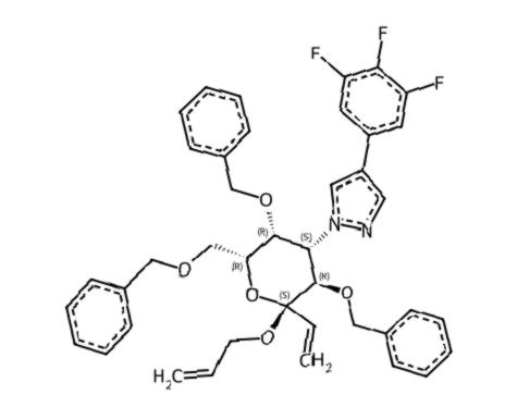 C=CCO[C@@]1(C=C)O[C@H](COCc2ccccc2)[C@H](OCc2ccccc2)[C@H](n2cc(-c3cc(F)c(F)c(F)c3)cn2)[C@H]1OCc1ccccc1